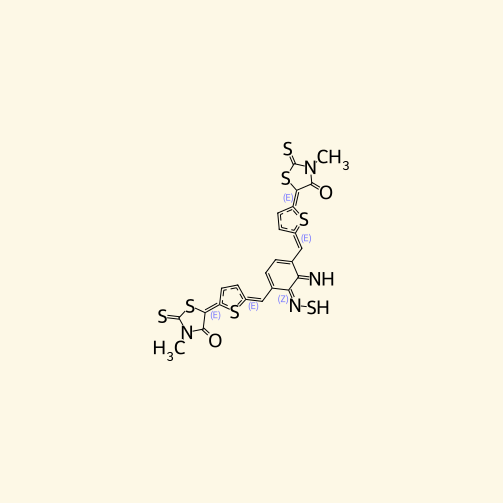 CN1C(=O)/C(=c2/cc/c(=C\C3=CC=C(/C=c4\cc/c(=C5\SC(=S)N(C)C5=O)s4)/C(=N/S)C3=N)s2)SC1=S